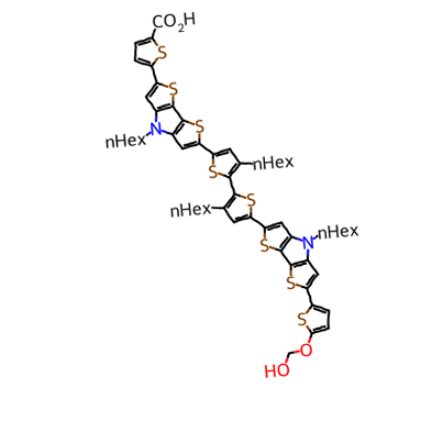 CCCCCCc1cc(-c2cc3c(s2)c2sc(-c4ccc(OCO)s4)cc2n3CCCCCC)sc1-c1sc(-c2cc3c(s2)c2sc(-c4ccc(C(=O)O)s4)cc2n3CCCCCC)cc1CCCCCC